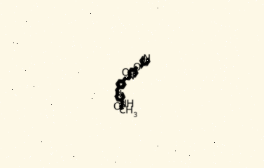 CC(=O)NC1CCN(Cc2ccc(CCn3ccc(OCc4ccncc4)cc3=O)cc2)CC1